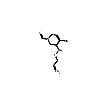 C=CCONC1CN(C=O)CC=C1Br